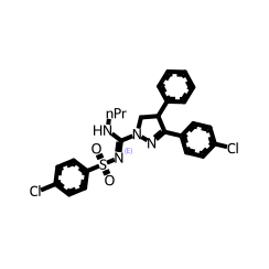 CCCN/C(=N\S(=O)(=O)c1ccc(Cl)cc1)N1CC(c2ccccc2)C(c2ccc(Cl)cc2)=N1